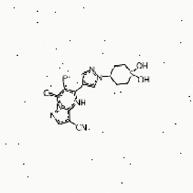 CC(C)c1c(-c2cnn(C3CCS(O)(O)CC3)c2)[nH]c2c(C#N)cnn2c1=O